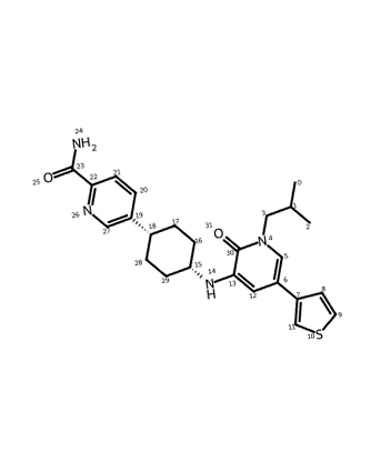 CC(C)Cn1cc(-c2ccsc2)cc(N[C@H]2CC[C@@H](c3ccc(C(N)=O)nc3)CC2)c1=O